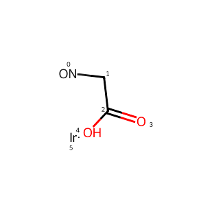 O=NCC(=O)O.[Ir]